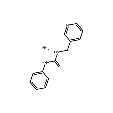 N.O=C(NCc1cccnc1)Nc1ccccc1